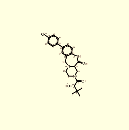 CC(C)(C)[C@H](O)C(=O)N1CCN2Cc3cc(-c4ccc(Cl)cc4)ccc3NC(=O)C2C1